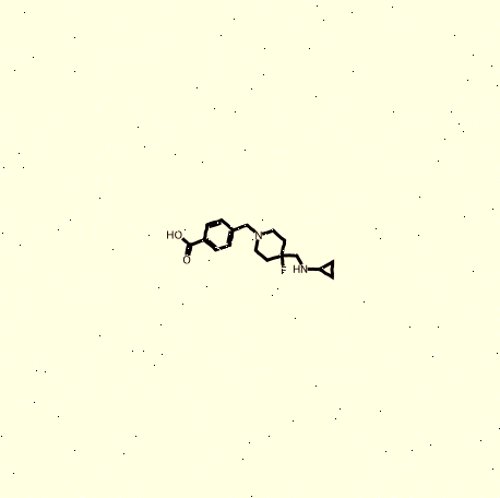 O=C(O)c1ccc(CN2CCC(F)(CNC3CC3)CC2)cc1